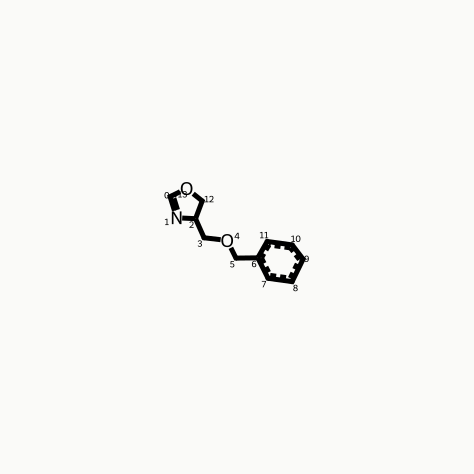 [C]1=NC(COCc2ccccc2)CO1